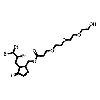 CCC(Br)C(Br)CC1C(=O)CCC1COC(=O)CCOCCOCCOCCO